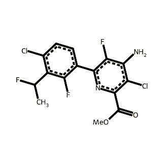 COC(=O)c1nc(-c2ccc(Cl)c(C(C)F)c2F)c(F)c(N)c1Cl